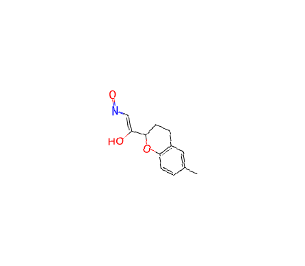 Cc1ccc2c(c1)CCC(/C(O)=C/N=O)O2